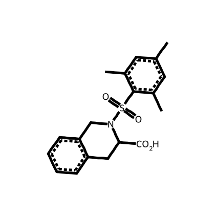 Cc1cc(C)c(S(=O)(=O)N2Cc3ccccc3CC2C(=O)O)c(C)c1